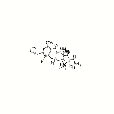 CN(C)[C@@H]1C(O)=C(C(N)=O)C(=O)[C@@]2(O)C(O)=C3C(=O)c4c(O)cc(CN5CCC5)c(F)c4C[C@H]3C[C@@H]12